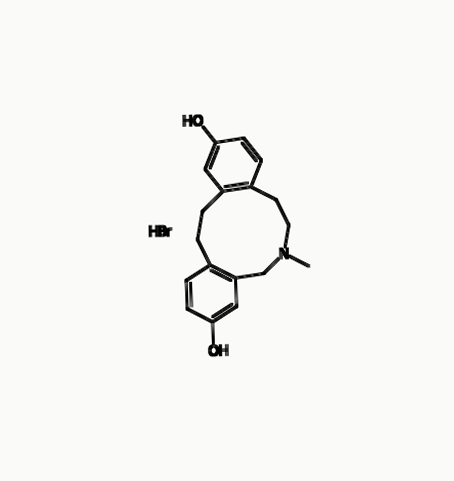 Br.CN1CCc2ccc(O)cc2CCc2ccc(O)cc2C1